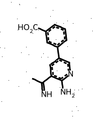 CC(=N)c1cc(-c2cccc(C(=O)O)c2)cnc1N